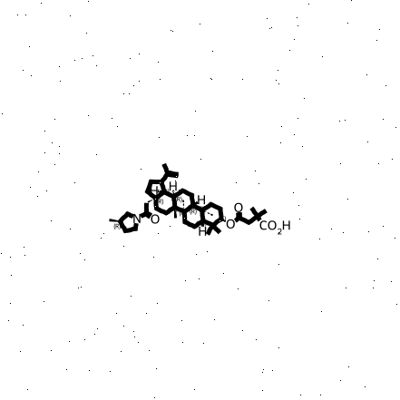 C=C(C)C1CC[C@]2(CC(=O)N3CC[C@@H](C)C3)CC[C@]3(C)[C@H](CC[C@@H]4[C@@]5(C)CC[C@H](OC(=O)CC(C)(C)C(=O)O)C(C)(C)[C@@H]5CC[C@]43C)[C@@H]12